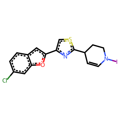 Clc1ccc2cc(-c3csc(C4C=CN(I)CC4)n3)oc2c1